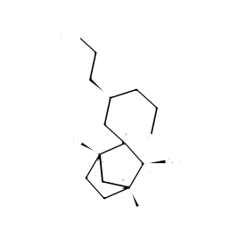 CCC[C@H]1CCC[C@@]2(C1)[C@H]1CC[C@H](C1)[C@@H]2N